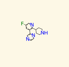 Fc1cnc(C2CCNCC2)c(-c2cnccn2)c1